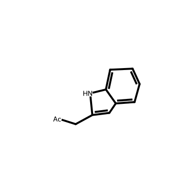 CC(=O)Cc1cc2ccccc2[nH]1